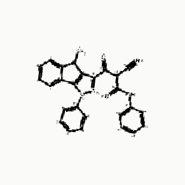 CC1c2ccccc2-c2c1c(C(=O)C(C#N)C(=O)Nc1ccccc1)nn2-c1ccccc1